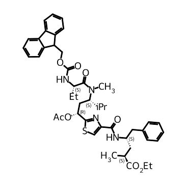 CCOC(=O)[C@@H](C)C[C@@H](Cc1ccccc1)NC(=O)c1csc([C@@H](C[C@@H](C(C)C)N(C)C(=O)[C@H](CC)NC(=O)OCC2c3ccccc3-c3ccccc32)OC(C)=O)n1